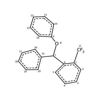 FC(F)(F)c1ccccc1C(Oc1[c]cccc1)c1ccccc1